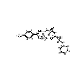 Cc1ccc(-c2nc(CS(=O)(=O)CC(=O)NCCc3ccccc3)c(C)o2)cc1